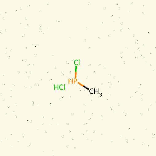 CPCl.Cl